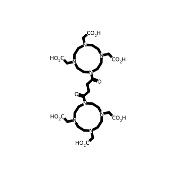 O=C(O)CN1CCN(CC(=O)O)CCN(C(=O)CCC(=O)N2CCN(CC(=O)O)CCN(CC(=O)O)CCN(CC(=O)O)CC2)CCN(CC(=O)O)CC1